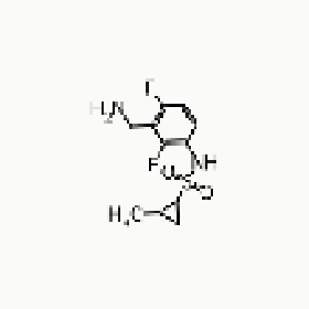 CC1CC1S(=O)(=O)Nc1ccc(F)c(CN)c1F